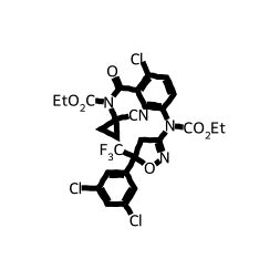 CCOC(=O)N(C1=NOC(c2cc(Cl)cc(Cl)c2)(C(F)(F)F)C1)c1ccc(Cl)c(C(=O)N(C(=O)OCC)C2(C#N)CC2)c1